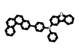 c1ccc(N(c2ccc(-c3ccc4c(ccc5ccc6ccccc6c54)c3)cc2)c2ccc3oc4ccccc4c3c2)cc1